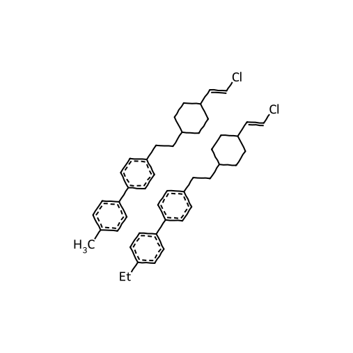 CCc1ccc(-c2ccc(CCC3CCC(/C=C/Cl)CC3)cc2)cc1.Cc1ccc(-c2ccc(CCC3CCC(/C=C/Cl)CC3)cc2)cc1